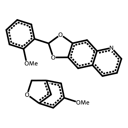 COc1cc2cc(c1)OC2.COc1ccccc1C1Oc2cc3cccnc3cc2O1